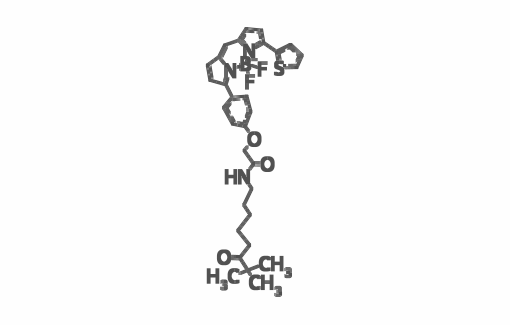 CC(C)(C)C(=O)CCCCCNC(=O)COc1ccc(C2=[N+]3C(=Cc4ccc(-c5cccs5)n4[B-]3(F)F)C=C2)cc1